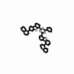 c1ccc(-c2nc(-c3cccc4c3oc3cc(-c5cccc6ccccc56)ccc34)nc(-c3cccc4c3sc3cccc(-c5cccc6ccccc56)c34)n2)cc1